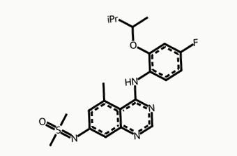 Cc1cc(N=S(C)(C)=O)cc2ncnc(Nc3ccc(F)cc3OC(C)C(C)C)c12